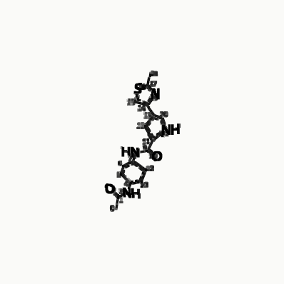 CC(=O)Nc1ccc(NC(=O)c2cc(-c3csc(C)n3)c[nH]2)cc1